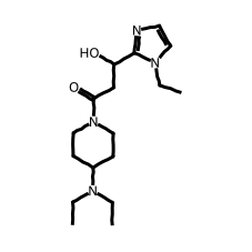 CCN(CC)C1CCN(C(=O)CC(O)c2nccn2CC)CC1